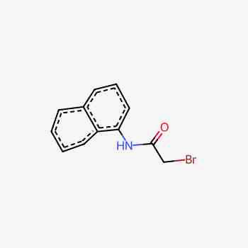 O=C(CBr)Nc1cccc2ccccc12